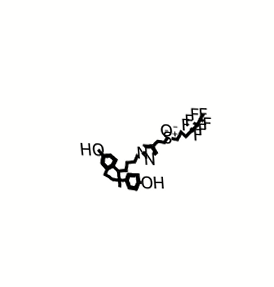 CC1(c2ccc(O)cc2)CCc2cc(O)ccc2C1CCCCn1cc(CC[S+]([O-])CCCC(F)(F)C(F)(F)C(F)(F)F)cn1